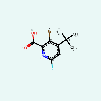 CC(C)(C)c1cc(F)nc(C(=O)O)c1Br